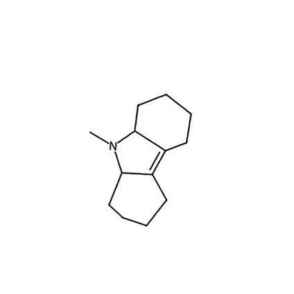 CN1C2CCCCC2=C2CCCCC21